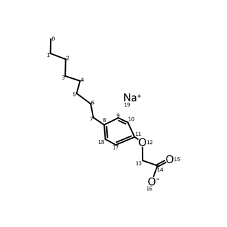 CCCCCCCCc1ccc(OCC(=O)[O-])cc1.[Na+]